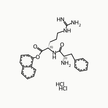 Cl.Cl.N=C(N)NCCC[C@H](NC(=O)[C@@H](N)Cc1ccccc1)C(=O)Oc1cccc2ccccc12